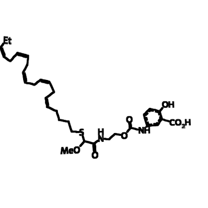 CC/C=C\C/C=C\C/C=C\C/C=C\C/C=C\CCCCSC(OC)C(=O)NCCOC(=O)Nc1ccc(O)c(C(=O)O)c1